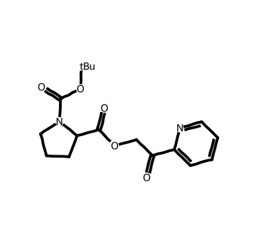 CC(C)(C)OC(=O)N1CCCC1C(=O)OCC(=O)c1ccccn1